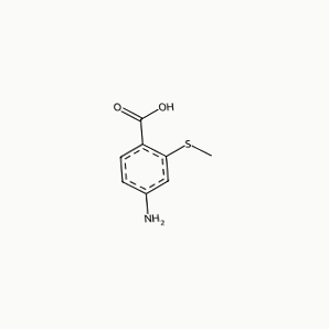 CSc1cc(N)ccc1C(=O)O